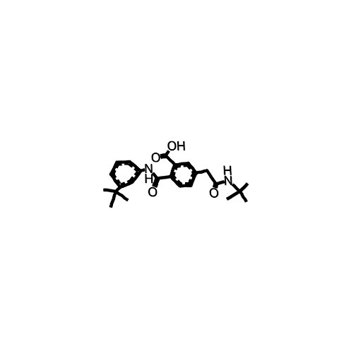 CC(C)(C)NC(=O)Cc1ccc(C(=O)Nc2cccc(C(C)(C)C)c2)c(C(=O)O)c1